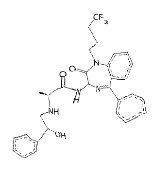 C[C@H](NCC(O)c1ccccc1)C(=O)NC1N=C(c2ccccc2)c2ccccc2N(CCCC(F)(F)F)C1=O